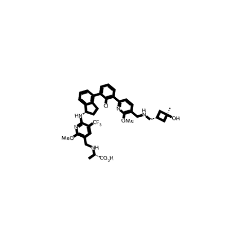 COc1nc(-c2cccc(-c3cccc4c3CC[C@@H]4Nc3nc(OC)c(CN[C@@H](C)C(=O)O)cc3C(F)(F)F)c2Cl)ccc1CNC[C@H]1C[C@](C)(O)C1